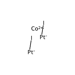 [Co+2].[I][Pt-].[I][Pt-]